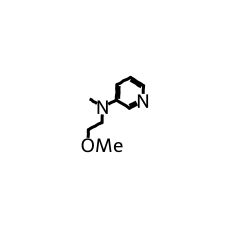 COCCN(C)c1cccnc1